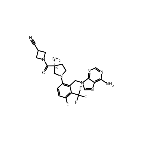 N#CC1CN(C(=O)[C@@]2(N)CCN(c3ccc(F)c(C(F)(F)F)c3Cn3cnc4c(N)ncnc43)C2)C1